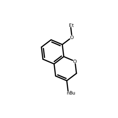 CCCCC1=Cc2cccc(OCC)c2OC1